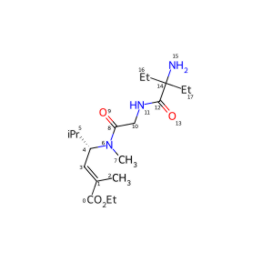 CCOC(=O)/C(C)=C/[C@H](C(C)C)N(C)C(=O)CNC(=O)C(N)(CC)CC